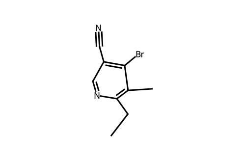 CCc1ncc(C#N)c(Br)c1C